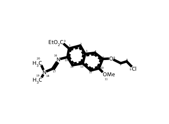 CCOC(=O)c1cc2cc(OCCCl)c(OC)cc2cc1N=CN(C)C